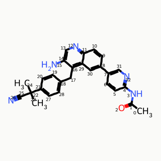 CC(=O)Nc1ccc(-c2ccc3ncc(N)c(Cc4ccc(C(C)(C)C#N)cc4)c3c2)cn1